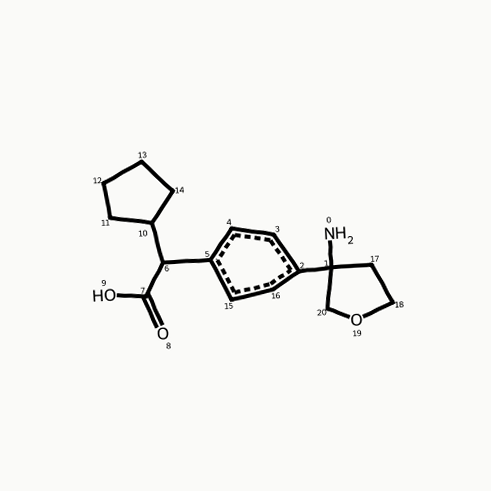 NC1(c2ccc(C(C(=O)O)C3CCCC3)cc2)CCOC1